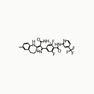 Cc1ccc2c(c1)CCn1nc(-c3cc(F)c(C(=O)Nc4cc(C(F)(F)F)ccn4)c(F)c3)c(C(N)=O)c1N2